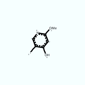 COc1cc(O)c(I)cn1